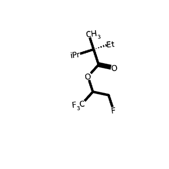 CC[C@](C)(C(=O)OC(CF)C(F)(F)F)C(C)C